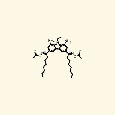 CCCCCCC/C(=N\OC(C)=O)c1cc(N)c2c(c1)c1cc(/C(CCCCCCC)=N/OC(C)=O)cc(N)c1n2CC